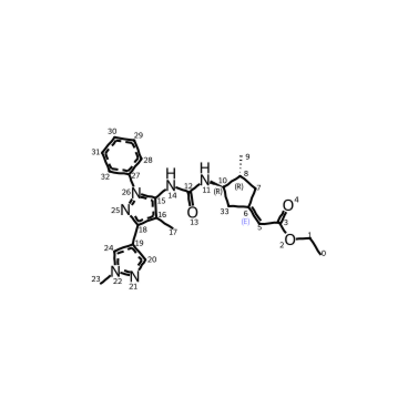 CCOC(=O)/C=C1\C[C@@H](C)[C@H](NC(=O)Nc2c(C)c(-c3cnn(C)c3)nn2-c2ccccc2)C1